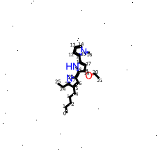 CCCCCC1=CC(=C2NC(c3cccn3C)=CC2OCC)N=C1CC